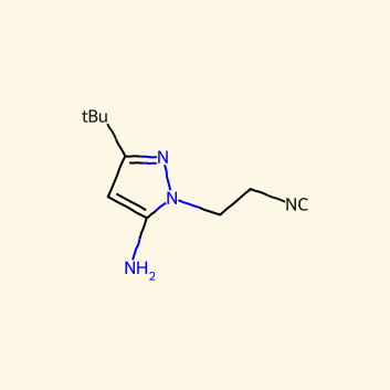 [C-]#[N+]CCn1nc(C(C)(C)C)cc1N